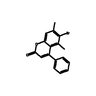 Cc1cc2oc(=O)cc(-c3ccccc3)c2c(C)c1Br